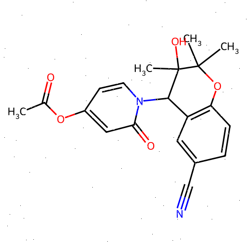 CC(=O)Oc1ccn(C2c3cc(C#N)ccc3OC(C)(C)C2(C)O)c(=O)c1